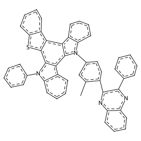 Cc1cc(-n2c3ccccc3c3c4c5ccccc5sc4c4c(c5ccccc5n4-c4ccccc4)c32)ccc1-c1nc2ccccc2nc1-c1ccccc1